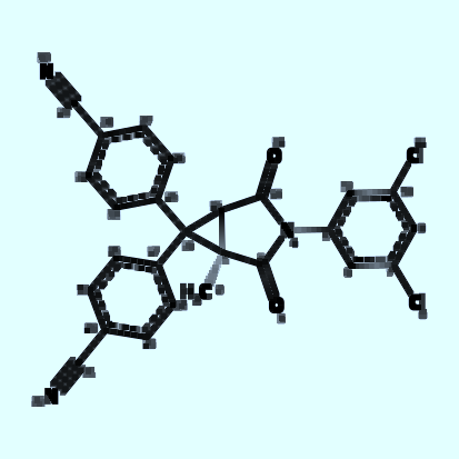 C[C@@]12C(=O)N(c3cc(Cl)cc(Cl)c3)C(=O)C1C2(c1ccc(C#N)cc1)c1ccc(C#N)cc1